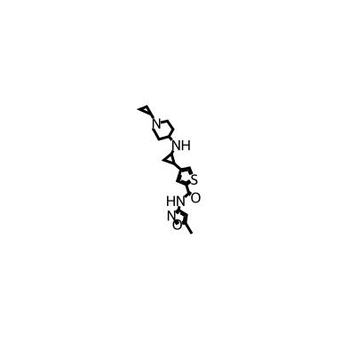 Cc1cc(NC(=O)c2cc(C3CC3NC3CCN(C4CC4)CC3)cs2)no1